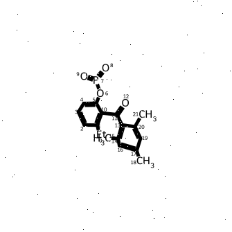 CCc1cccc(OP(=O)=O)c1C(=O)c1c(C)cc(C)cc1C